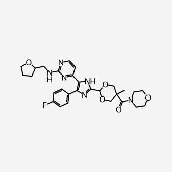 CC1(C(=O)N2CCOCC2)COC(c2nc(-c3ccc(F)cc3)c(-c3ccnc(NCC4CCCO4)n3)[nH]2)OC1